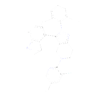 Cc1cccc(C)c1-n1nc2c(c1-c1ccc(Cl)c3[nH]ccc13)CN(c1ncc(C(C)C)cc1F)CC2